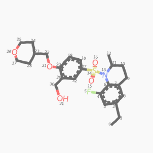 CCc1cc(F)c2c(c1)CCC(C)N2S(=O)(=O)c1ccc(OCC2CCOCC2)c(CO)c1